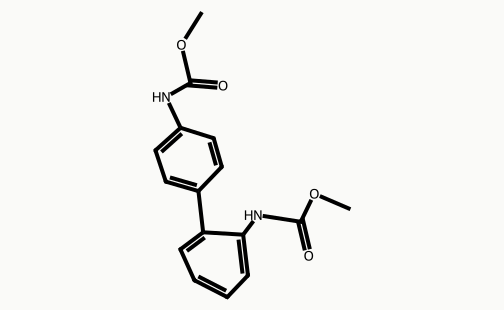 COC(=O)Nc1ccc(-c2ccccc2NC(=O)OC)cc1